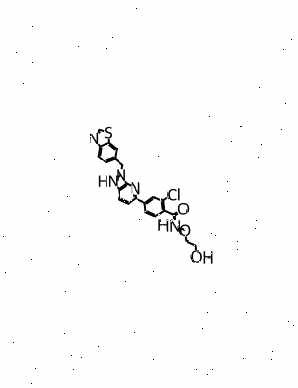 O=C(NOCCO)c1ccc(-c2ccc3[nH]n(Cc4ccc5ncsc5c4)c3n2)cc1Cl